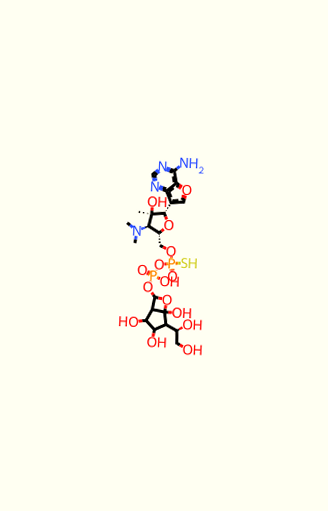 CN(C)[C@@H]1[C@@H](COP(=O)(S)OP(=O)(O)OC2OC3(O)C2C(O)C(O)C3[C@@H](O)CO)O[C@@H](c2coc3c(N)ncnc23)[C@]1(C)O